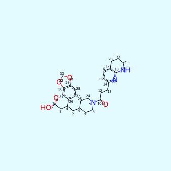 O=C(O)CC(CC1CCN(C(=O)CCc2ccc3c(n2)NCCC3)CC1)c1ccc2c(c1)OCO2